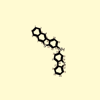 c1ccc2cc3c(cc2c1)sc1cc(Nc2ccc4c(c2)sc2ccccc24)ccc13